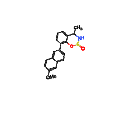 COc1ccc2cc(-c3cccc4c3OS(=O)NC4C)ccc2c1